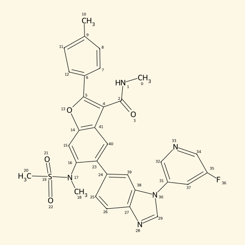 CNC(=O)c1c(-c2ccc(C)cc2)oc2cc(N(C)S(C)(=O)=O)c(-c3ccc4ncn(-c5cncc(F)c5)c4c3)cc12